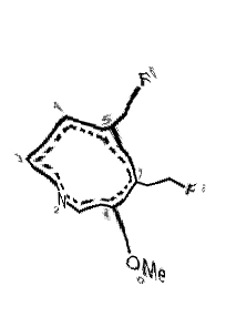 COc1nccc(F)c1F